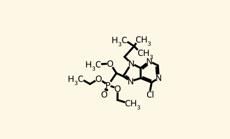 CCOP(=O)(OCC)C(OC)c1nc2c(Cl)ncnc2n1CC(C)(C)C